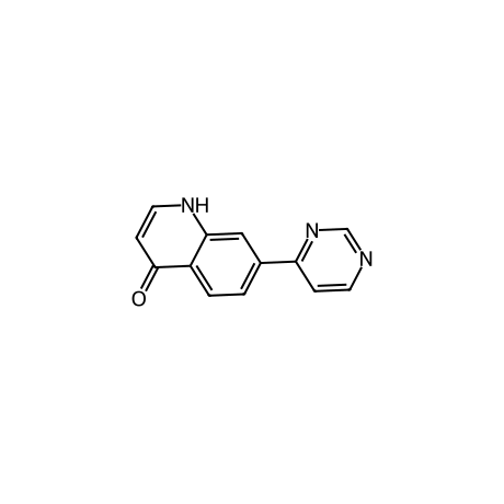 O=c1cc[nH]c2cc(-c3ccncn3)ccc12